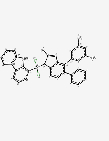 CC(C)C1=Cc2c(ccc(-c3ccccc3)c2-c2cc(C(F)(F)F)cc(C(F)(F)F)c2)[CH]1[Zr]([Cl])([Cl])[c]1cccc2c1[SiH2]c1ccccc1-2